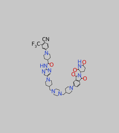 N#Cc1ccc(N2CCC(C(=O)Nc3ncc(N4CCC(CN5CCN(CC6CCN(c7ccc8c(c7)C(=O)N(C7CCC(=O)NC7=O)C8=O)CC6)CC5)CC4)cn3)CC2)cc1C(F)(F)F